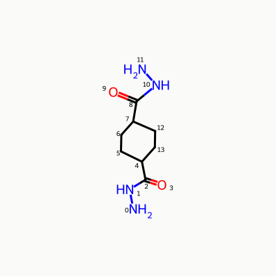 NNC(=O)C1CCC(C(=O)NN)CC1